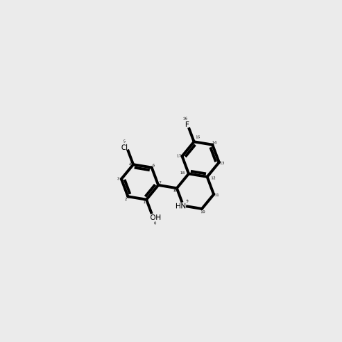 Oc1ccc(Cl)cc1C1NCCc2ccc(F)cc21